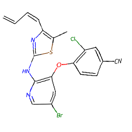 C=C/C=C\c1nc(Nc2ncc(Br)cc2Oc2ccc(C#N)cc2Cl)sc1C